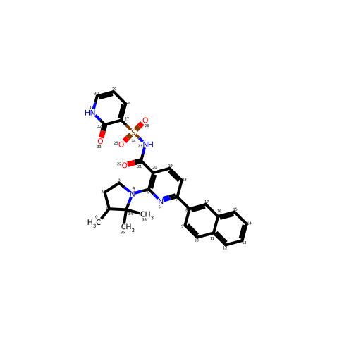 CC1CCN(c2nc(-c3ccc4ccccc4c3)ccc2C(=O)NS(=O)(=O)c2ccc[nH]c2=O)C1(C)C